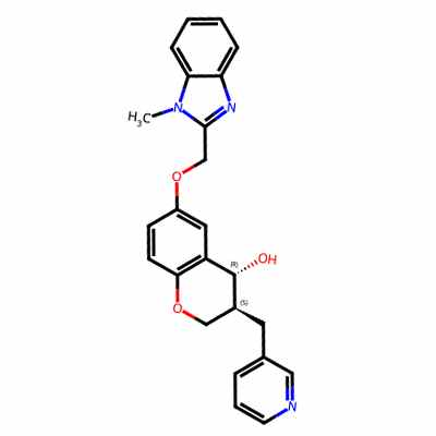 Cn1c(COc2ccc3c(c2)[C@H](O)[C@@H](Cc2cccnc2)CO3)nc2ccccc21